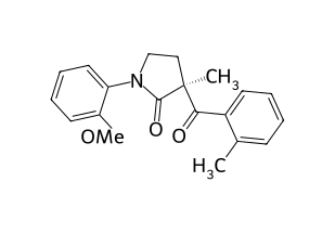 COc1ccccc1N1CC[C@@](C)(C(=O)c2ccccc2C)C1=O